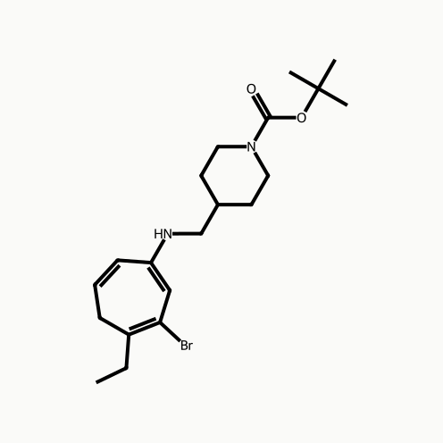 CCC1=C(Br)C=C(NCC2CCN(C(=O)OC(C)(C)C)CC2)C=CC1